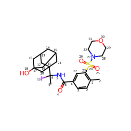 Cc1ccc(C(=O)NC(C)(I)C23CC4CC(CC(O)(C4)C2)C3)cc1S(=O)(=O)N1CCOCC1